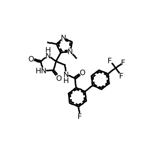 Cc1ncn(C)c1C1(CNC(=O)c2ccc(F)cc2-c2ccc(C(F)(F)F)cc2)NC(=O)NC1=O